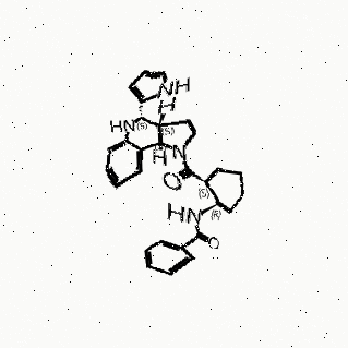 O=C(N[C@@H]1CCCC[C@@H]1C(=O)N1CC[C@H]2[C@@H](c3ccc[nH]3)Nc3ccccc3[C@H]21)c1ccccc1